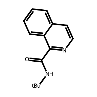 CC(C)(C)NC(=O)c1nccc2ccccc12